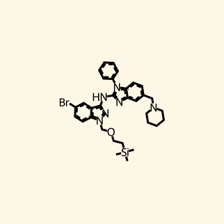 C[Si](C)(C)CCOCn1nc(Nc2nc3cc(CN4CCCCC4)ccc3n2-c2ccccc2)c2cc(Br)ccc21